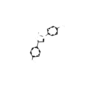 CCCN1N=C(c2ccc(C#N)cc2)C=S1c1ccc(C#N)cc1